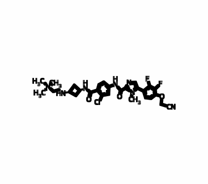 Cn1c(-c2ccc(OCC#N)c(F)c2F)cnc1C(=O)Nc1ccc(C(=O)N[C@H]2C[C@@H](NCC[N+](C)(C)C)C2)c(Cl)c1